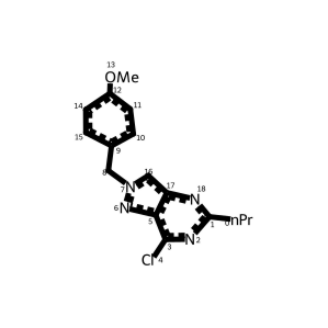 CCCc1nc(Cl)c2nn(Cc3ccc(OC)cc3)cc2n1